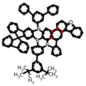 CC(C)(C)c1cc(-c2ccc3c(c2)N(c2ccccc2-c2ccccc2)c2cc(-c4ccc5oc6ccccc6c5c4)cc4c2B3c2cc3c(cc2N4c2cc(-c4ccccc4)cc(-c4ccccc4)c2)-c2ccccc2C32c3ccccc3-c3ccccc32)cc(C(C)(C)C)c1